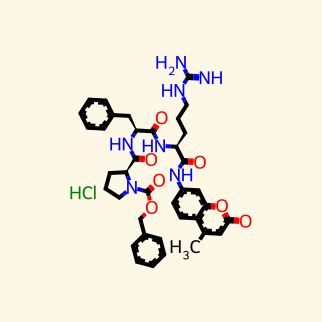 Cc1cc(=O)oc2cc(NC(=O)[C@H](CCCNC(=N)N)NC(=O)[C@H](Cc3ccccc3)NC(=O)[C@@H]3CCCN3C(=O)OCc3ccccc3)ccc12.Cl